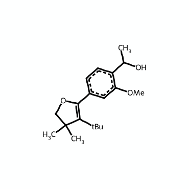 COc1cc(C2=C(C(C)(C)C)C(C)(C)CO2)ccc1C(C)O